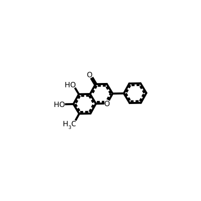 Cc1cc2oc(-c3ccccc3)cc(=O)c2c(O)c1O